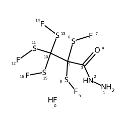 F.NNC(=O)C(SF)(SF)C(SF)(SF)SF